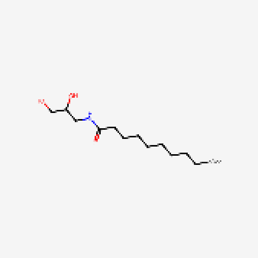 CCCCCCCCCCCCCCCCCCC(=O)NCC(O)CO